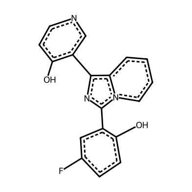 Oc1ccncc1-c1nc(-c2cc(F)ccc2O)n2ccccc12